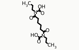 CCCN(C(=O)O)C(=O)CCCCC(=O)N(CCC)C(=O)O